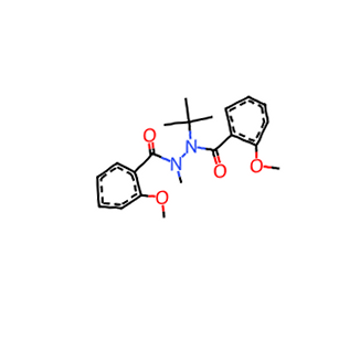 COc1ccccc1C(=O)N(C)N(C(=O)c1ccccc1OC)C(C)(C)C